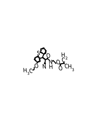 C=C(C)C(=O)OCCNC(=O)C(C#N)=C1c2ccccc2Sc2ccc(OCCC)cc21